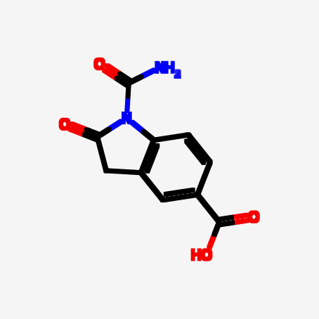 NC(=O)N1C(=O)Cc2cc(C(=O)O)ccc21